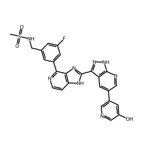 CS(=O)(=O)NCc1cc(F)cc(-c2nccc3[nH]c(-c4n[nH]c5ncc(-c6cncc(O)c6)cc45)nc23)c1